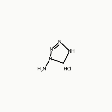 Cl.NN1CNN=N1